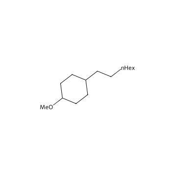 CCCCCCCCC1CCC(OC)CC1